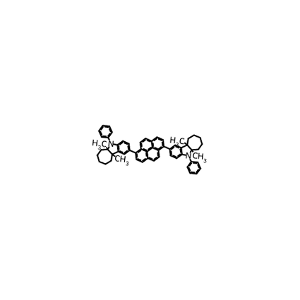 CC12CCCCCC1(C)N(c1ccccc1)c1ccc(-c3ccc4ccc5c(-c6ccc7c(c6)C6(C)CCCCCC6(C)N7c6ccccc6)ccc6ccc3c4c65)cc12